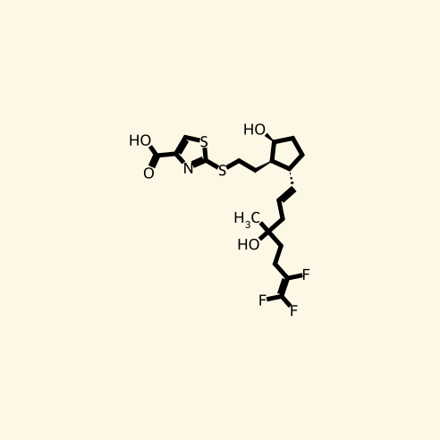 CC(O)(CC=C[C@H]1CC[C@H](O)[C@@H]1CCSc1nc(C(=O)O)cs1)CCC(F)=C(F)F